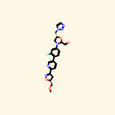 COC[C@@H]1CC(c2ccc(-c3ccc(N4C[C@H](Cn5ccnn5)OC4C=O)cc3F)cn2)=NO1